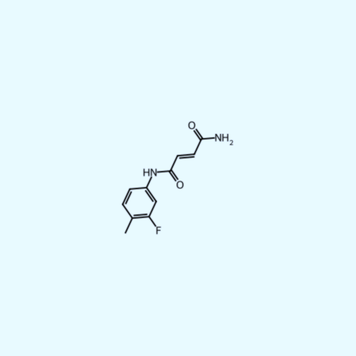 Cc1ccc(NC(=O)/C=C/C(N)=O)cc1F